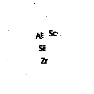 [Al].[Sc].[Si].[Zr]